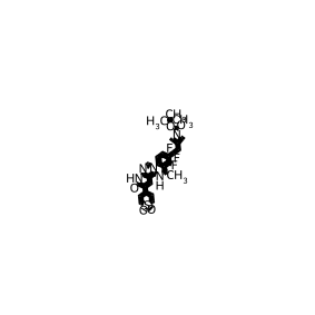 C[C@@H](Nc1ncnc2[nH]c(=O)c(C3CCS(=O)(=O)CC3)cc12)c1cccc(C(F)(F)CC2CN(C(=O)OC(C)(C)C)C2)c1F